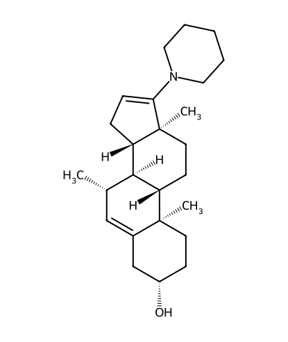 C[C@H]1C=C2C[C@@H](O)CC[C@]2(C)[C@H]2CC[C@]3(C)C(N4CCCCC4)=CC[C@H]3[C@H]12